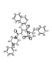 O=C(C[C@@H](Cc1cccc2ccccc12)C(=O)N1C(=O)OC[C@@H]1Cc1ccccc1)N1CCN(c2ccccc2)CC1